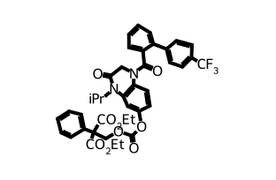 CCOC(=O)C(COC(=O)Oc1ccc2c(c1)N(C(C)C)C(=O)CN2C(=O)c1ccccc1-c1ccc(C(F)(F)F)cc1)(C(=O)OCC)c1ccccc1